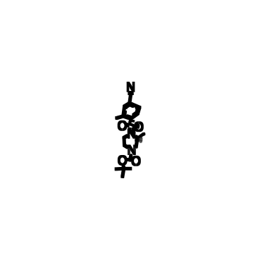 Cc1cc(C#N)ccc1S(=O)(=O)N1CCN(C(=O)OC(C)(C)C)C[C@@H]1C